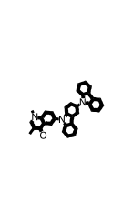 Cc1cn(C)c2ccc(-n3c4ccccc4c4cc(-n5c6ccccc6c6ccccc65)ccc43)cc2c1=O